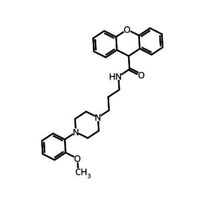 COc1ccccc1N1CCN(CCCNC(=O)C2c3ccccc3Oc3ccccc32)CC1